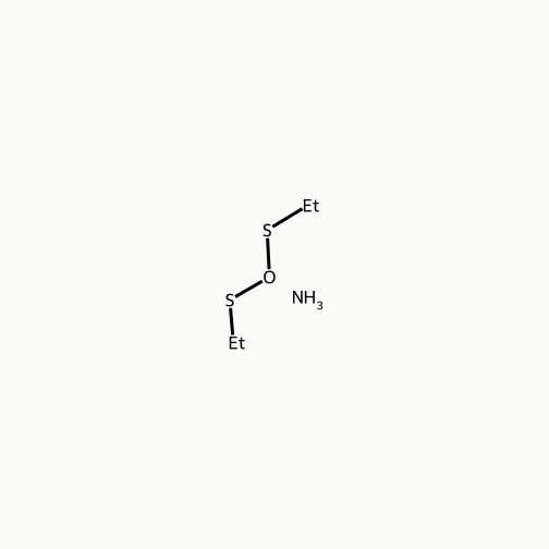 CCSOSCC.N